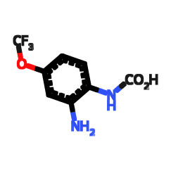 Nc1cc(OC(F)(F)F)ccc1NC(=O)O